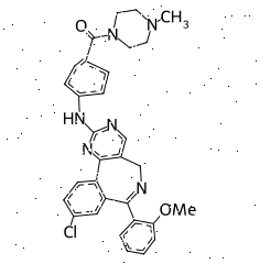 COc1ccccc1C1=NCc2cnc(Nc3ccc(C(=O)N4CCN(C)CC4)cc3)nc2-c2ccc(Cl)cc21